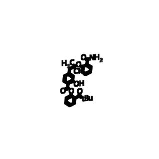 CC(C)(Cc1ccc(C(=O)Oc2ccccc2C(=O)C(C)(C)C)c(O)c1)Oc1ccccc1C(N)=O